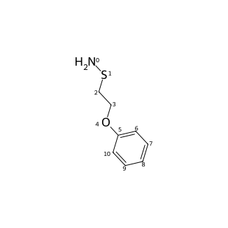 NSCCOc1ccccc1